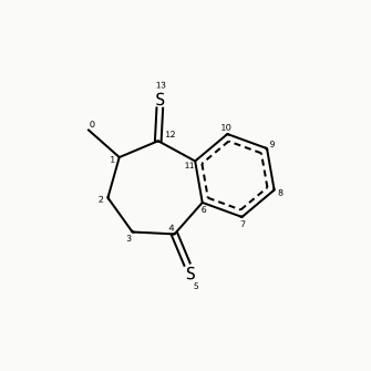 CC1CCC(=S)c2ccccc2C1=S